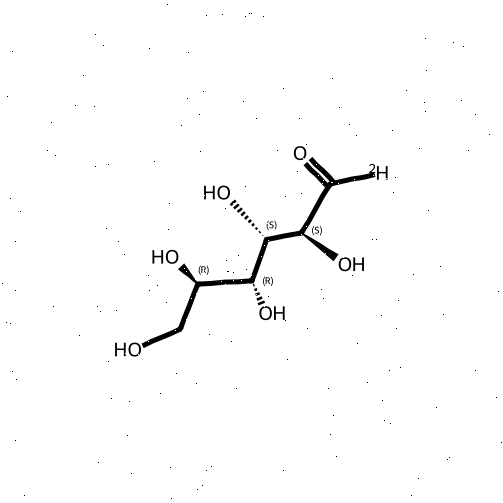 [2H]C(=O)[C@@H](O)[C@@H](O)[C@H](O)[C@H](O)CO